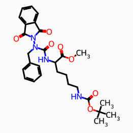 COC(=O)C(CCCCNC(=O)OC(C)(C)C)NC(=O)N(Cc1ccccc1)N1C(=O)c2ccccc2C1=O